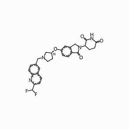 O=C1CCC(N2Cc3cc(O[C@H]4CCN(Cc5ccc6nc(C(F)F)ccc6c5)C4)ccc3C2=O)C(=O)N1